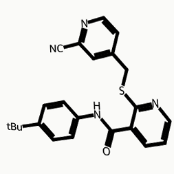 CC(C)(C)c1ccc(NC(=O)c2cccnc2SCc2ccnc(C#N)c2)cc1